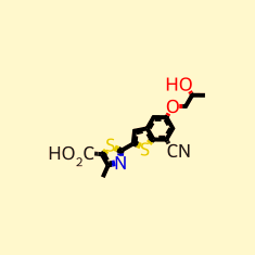 Cc1nc(-c2cc3cc(OCC(C)O)cc(C#N)c3s2)sc1C(=O)O